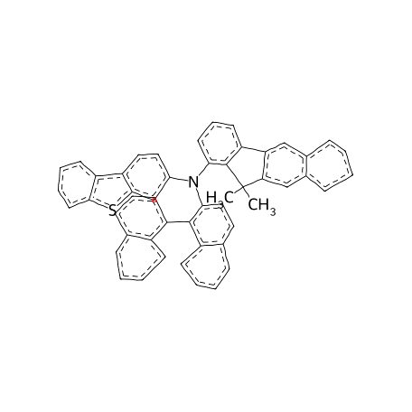 CC1(C)c2cc3ccccc3cc2-c2cccc(N(c3ccc4c(c3)sc3ccccc34)c3ccc4ccccc4c3-c3cccc4ccccc34)c21